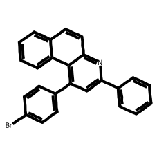 Brc1ccc(-c2cc(-c3ccccc3)nc3ccc4ccccc4c23)cc1